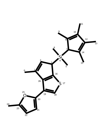 CC1=CC([Si](C)(C)C2C(C)=C(C)C(C)=C2C)c2scc(-c3ccc(C)o3)c21